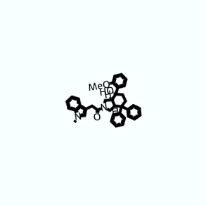 COc1ccccc1[C@]1(O)CCC(c2ccccc2)(c2ccccc2)[C@H]2CN(C(=O)Cc3cn(C)c4ccccc34)C[C@H]21